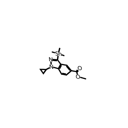 COC(=O)c1ccc2c(c1)[c]([Sn]([CH3])([CH3])[CH3])nn2C1CC1